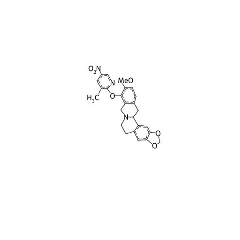 COc1ccc2c(c1Oc1ncc([N+](=O)[O-])cc1C)CN1CCc3cc4c(cc3C1C2)OCO4